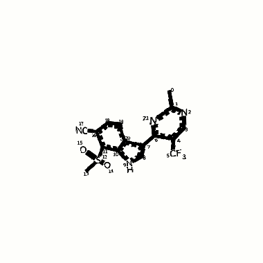 Cc1ncc(C(F)(F)F)c(-c2c[nH]c3c(S(C)(=O)=O)c(C#N)ccc23)n1